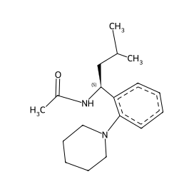 CC(=O)N[C@@H](CC(C)C)c1ccccc1N1CCCCC1